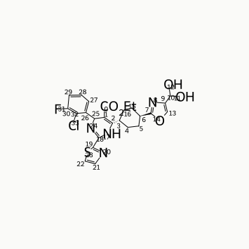 CCOC(=O)C1=C([C@H]2CC[C@H](c3nc(C(O)O)co3)CC2)NC(c2nccs2)=NC1c1cccc(F)c1Cl